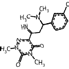 CN(C)C(CC(=N)c1nn(C)c(=O)n(C)c1=O)c1cccc(Cl)c1